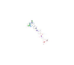 CCOC(CCCNC(=O)Oc1ccc(C(=O)Nc2ccc(-c3nc(C(Cl)(Cl)Cl)nc(C(Cl)(Cl)Cl)n3)cc2)cc1)(OCC)OCC